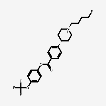 O=C(Oc1ccc(OC(F)(F)F)cc1)c1ccc([C@H]2CC[Si@H](CCCCF)CC2)cc1